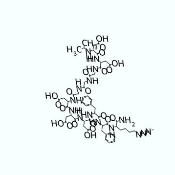 CC(C)NC(CC(=O)O)C(=O)NC(CC(=O)O)C(=O)NCC(=O)NCC(=O)NCC(=O)NC(CC(=O)O)C(=O)NC(CC(=O)O)C(=O)NC(CC(=O)O)C(=O)NC(Cc1ccccc1)C(=O)NC(Cc1ccccc1)C(=O)NC(CCCCN=[N+]=[N-])C(N)=O